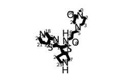 CN1CCN(CCC(=O)Nc2sc3c(c2-c2nc4cnccc4s2)CCNC3)CC1=O